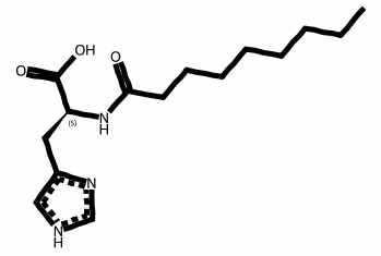 CCCCCCCCC(=O)N[C@@H](Cc1c[nH]cn1)C(=O)O